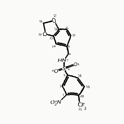 O=[N+]([O-])c1cc(S(=O)(=O)NCc2ccc3c(c2)OCO3)ccc1C(F)(F)F